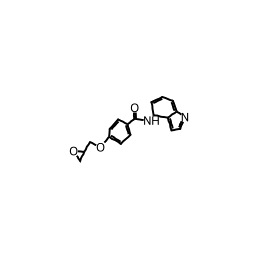 O=C(NC1C=CC=C2N=CC=C21)c1ccc(OCC2CO2)cc1